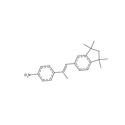 C/C(=C\c1ccc2c(c1)C(C)(C)CC2(C)C)c1ccc([N+](=O)[O-])cc1